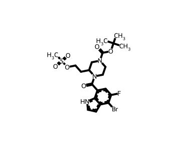 CC(C)(C)OC(=O)N1CCN(C(=O)c2cc(F)c(Br)c3cc[nH]c23)C(CCOS(C)(=O)=O)C1